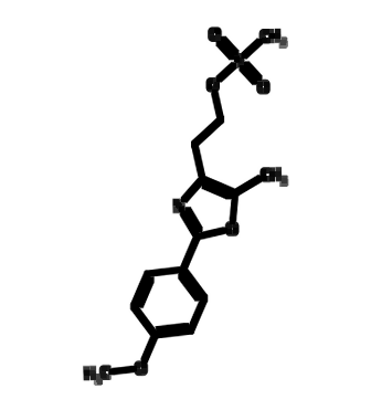 COc1ccc(-c2nc(CCOS(C)(=O)=O)c(C)o2)cc1